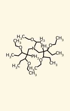 CCOC(C)N(CC(P)(C(CC)OCC)C(CC)OCC)CC(P)(C(CC)OCC)C(CC)OCC